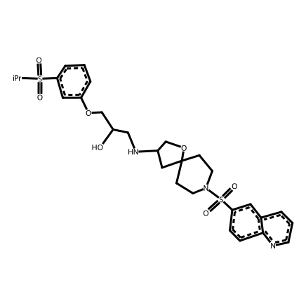 CC(C)S(=O)(=O)c1cccc(OCC(O)CNC2COC3(CCN(S(=O)(=O)c4ccc5ncccc5c4)CC3)C2)c1